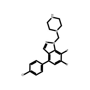 Fc1cc(-c2ccc(Cl)cc2)c2cnn(CN3CCNCC3)c2c1F